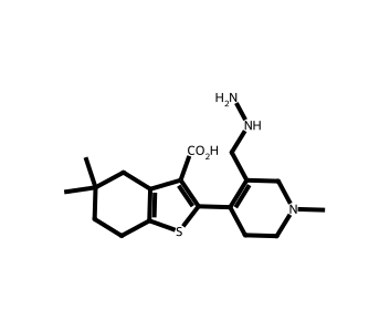 CN1CCC(c2sc3c(c2C(=O)O)CC(C)(C)CC3)=C(CNN)C1